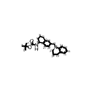 CC(C)(C)OC(=O)NC1CCCc2cc(CN3CCCc4ccccc43)ccc21